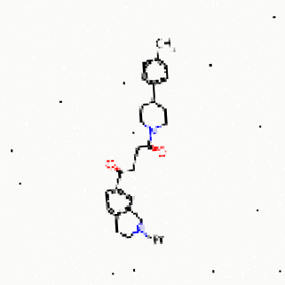 Cc1ccc(C2CCN(C(=O)CCC(=O)c3ccc4c(c3)CN(C(C)C)CC4)CC2)cc1